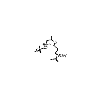 CC(C[Si](C)(C)O[Si](C)(C)C)OCCCN(O)C(C)C